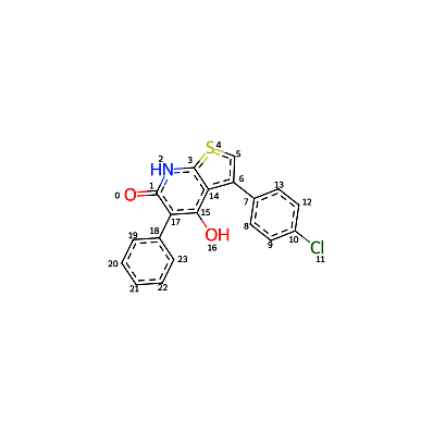 O=c1[nH]c2scc(-c3ccc(Cl)cc3)c2c(O)c1-c1ccccc1